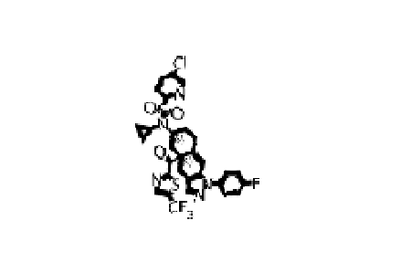 O=C(c1ncc(C(F)(F)F)s1)[C@]12Cc3cnn(-c4ccc(F)cc4)c3C=C1CC[C@H](N(C1CC1)S(=O)(=O)c1ccc(Cl)cn1)C2